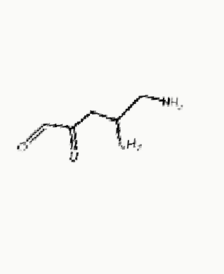 NCC(N)CC(=O)C=O